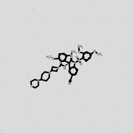 COc1ccc(S(=O)(=O)N2C(=O)[C@@](NC(=O)N3CC(N4CCC(N5CCOCC5)CC4)C3)(c3cc(OC)ccc3OC)c3cc(C#N)ccc32)c(OC)c1